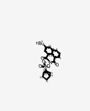 CCCCc1cc2c3c(cccc3c1)C(=O)N(OS(=O)(=O)C1CC3CCC1C3)C2=O